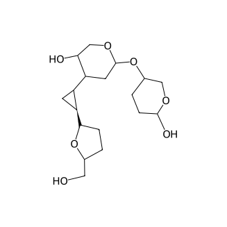 OCC1CCC([C@H]2CC2C2CC(OC3CCC(O)OC3)OCC2O)O1